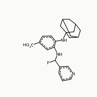 O=C(O)c1ccc(NC23CC4CC(CC(C4)C2)C3)c(NC(F)c2cccnc2)c1